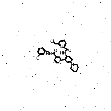 O=C(NCc1cccc(C(F)(F)F)c1)c1ccnc(-c2cc(N3CCCCC3)ccc2NC(=O)c2cccc(CCl)n2)c1